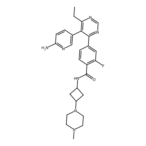 CCc1ncnc(-c2ccc(C(=O)NC3CC(N4CCN(C)CC4)C3)c(F)c2)c1-c1ccc(N)nc1